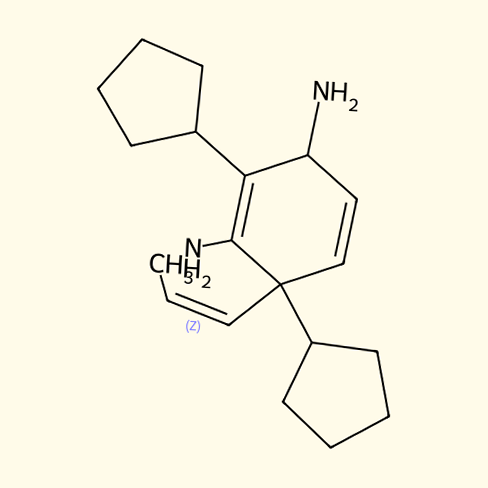 C/C=C\C1(C2CCCC2)C=CC(N)C(C2CCCC2)=C1N